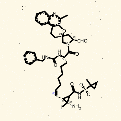 Cc1nc2ccccc2c2c1O[C@]1(CC2)C[C@@H](C=O)N(C(=O)[C@H](CCCCC/C=C\[C@@H]2C(C(=O)NS(=O)(=O)C3(C)CC3)[C@@]2(N)I)NC(=O)NCc2ccccc2)C1